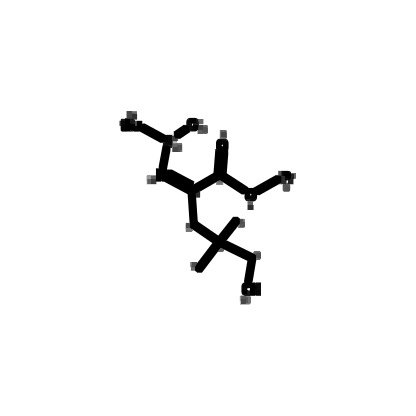 CC(C)OC(=O)/C(CC(C)(C)CC#N)=N\[S+]([O-])C(C)(C)C